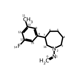 C=NN1CCCCC(c2cc(C)cc(F)c2)C1